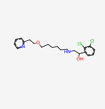 OC(CNCCCCCCOCCc1ccccn1)c1cccc(Cl)c1Cl